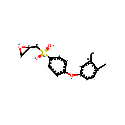 Cc1ccc(Oc2ccc(S(=O)(=O)CC3CO3)cc2)cc1C